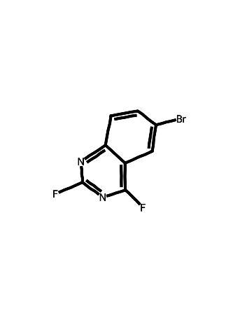 Fc1nc(F)c2cc(Br)ccc2n1